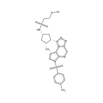 CCOCCS(=O)(=O)N[C@H]1C[C@@H](C)[C@@H](c2nnc3cnc4c(ccn4S(=O)(=O)c4ccc(C)cc4)n23)C1